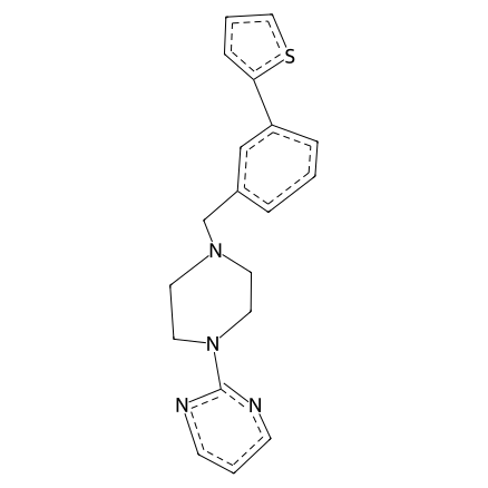 c1cnc(N2CCN(Cc3cccc(-c4cccs4)c3)CC2)nc1